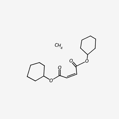 C.O=C(/C=C\C(=O)OC1CCCCC1)OC1CCCCC1